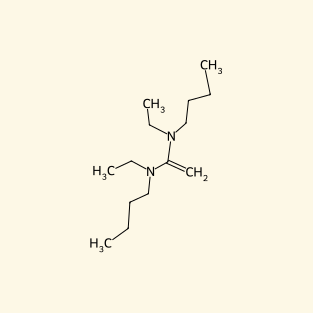 C=C(N(CC)CCCC)N(CC)CCCC